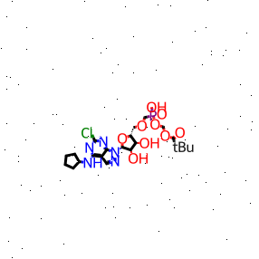 CC(C)(C)C(=O)OCOP(=O)(O)COC[C@H]1O[C@@H](n2ncc3c(NC4CCCC4)nc(Cl)nc32)[C@H](O)[C@@H]1O